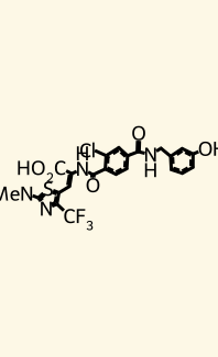 CNc1nc(C(F)(F)F)c(C=C(NC(=O)c2ccc(C(=O)NCc3cccc(O)c3)cc2Cl)C(=O)O)s1